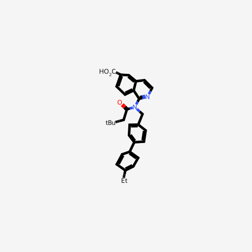 CCc1ccc(-c2ccc(CN(C(=O)CC(C)(C)C)c3nccc4cc(C(=O)O)ccc34)cc2)cc1